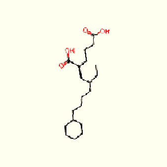 CCC(CCCCC1CCCCC1)CC(CCCC(=O)O)C(=O)O